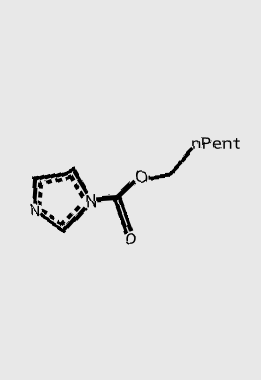 CCCCCCOC(=O)n1ccnc1